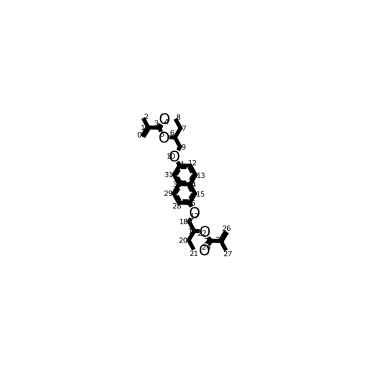 C=C(C)C(=O)OC(CC)COc1ccc2cc(OCC(CC)OC(=O)C(=C)C)ccc2c1